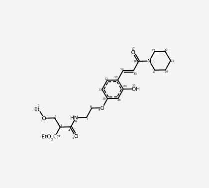 CCOCC(C(=O)NCCOc1ccc(/C=C/C(=O)N2CCCCC2)c(O)c1)C(=O)OCC